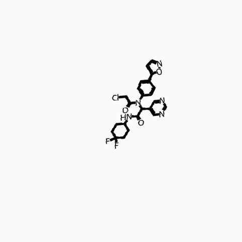 O=C(NC1CCC(F)(F)CC1)C(c1cncnc1)N(C(=O)CCl)c1ccc(-c2ccno2)cc1